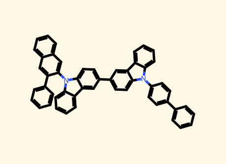 c1ccc(-c2ccc(-n3c4ccccc4c4cc(-c5ccc6c(c5)c5ccccc5n6-c5cc6ccccc6cc5-c5ccccc5)ccc43)cc2)cc1